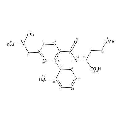 CCCCN(CCCC)Cc1ccc(C(=O)NC(CCSC)C(=O)O)c(-c2ccccc2C)c1